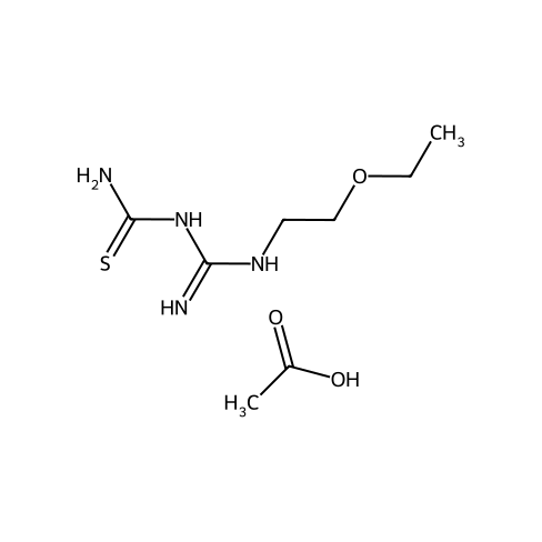 CC(=O)O.CCOCCNC(=N)NC(N)=S